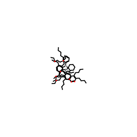 CCCCc1cccc(P(c2cccc(CCCC)c2CCCC)C2CCCCC2(P(c2cccc(CCCC)c2CCCC)c2cccc(CCCC)c2CCCC)P(c2cccc(CCCC)c2CCCC)c2cccc(CCCC)c2CCCC)c1CCCC